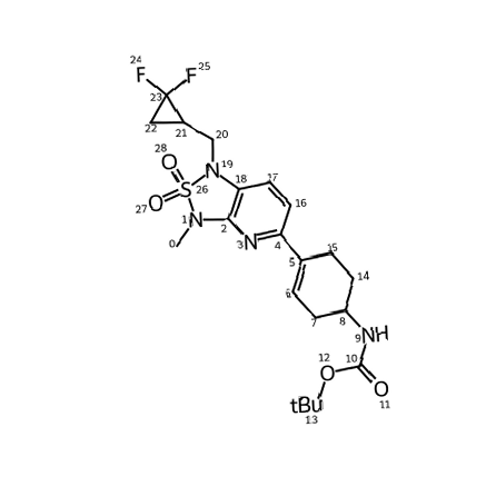 CN1c2nc(C3=CCC(NC(=O)OC(C)(C)C)CC3)ccc2N(CC2CC2(F)F)S1(=O)=O